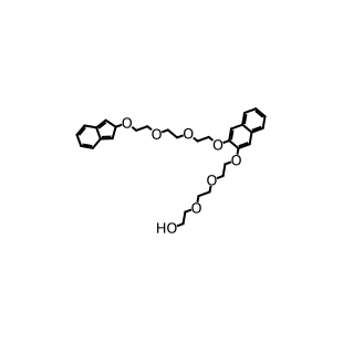 OCCOCCOCCOc1cc2ccccc2cc1OCCOCCOCCOC1C=c2ccccc2=C1